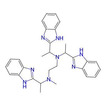 CC(c1nc2ccccc2[nH]1)N(C)CCN(C(C)c1nc2ccccc2[nH]1)C(C)c1nc2ccccc2[nH]1